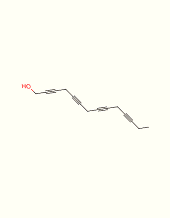 CCC#CCC#CCC#CCC#CCO